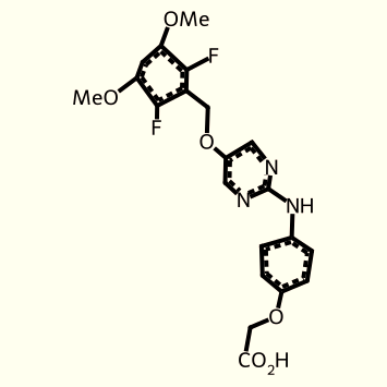 COc1cc(OC)c(F)c(COc2cnc(Nc3ccc(OCC(=O)O)cc3)nc2)c1F